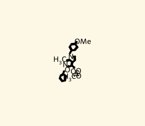 COc1ccc(Cn2ccc3c(COS(C)(=O)=O)c(OCc4ccccc4)nc(C)c32)cc1